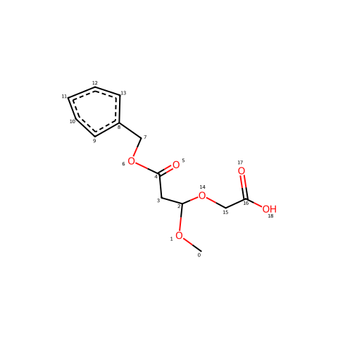 COC(CC(=O)OCc1ccccc1)OCC(=O)O